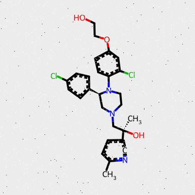 Cc1ccc([C@](C)(O)CN2CCN(c3ccc(OCCO)cc3Cl)[C@H](c3ccc(Cl)cc3)C2)cn1